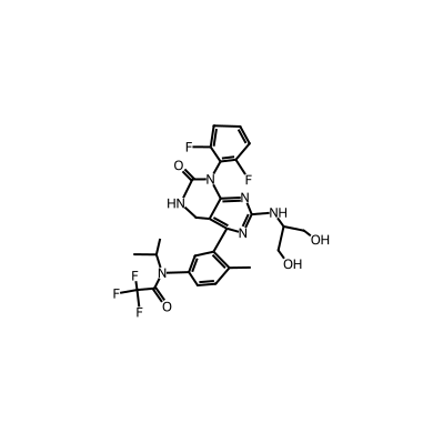 Cc1ccc(N(C(=O)C(F)(F)F)C(C)C)cc1-c1nc(NC(CO)CO)nc2c1CNC(=O)N2c1c(F)cccc1F